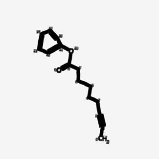 CC#CCCCCCC(=O)Oc1ccccc1